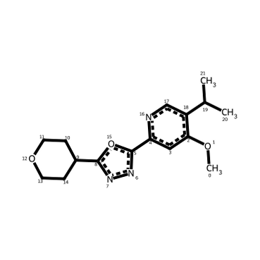 COc1cc(-c2nnc(C3CCOCC3)o2)ncc1C(C)C